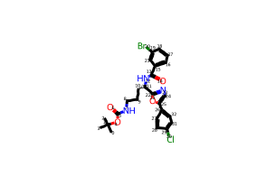 CC(C)(C)OC(=O)NCCC[C@H](NC(=O)c1cccc(Br)c1)c1ncc(-c2ccc(Cl)cc2)o1